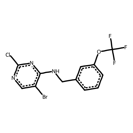 FC(F)(F)Oc1cccc(CNc2nc(Cl)ncc2Br)c1